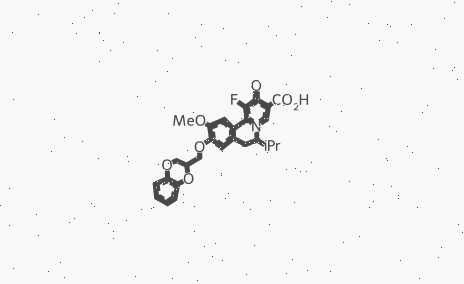 COc1cc2c(cc1OCC1COc3ccccc3O1)CC(C(C)C)n1cc(C(=O)O)c(=O)c(F)c1-2